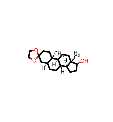 C[C@]12CCC3(C[C@@H]1CC[C@@H]1[C@@H]2CC[C@]2(C)[C@@H](O)CC[C@@H]12)OCCO3